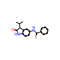 CC(C)C1C(=O)Nc2ccc(NC(=S)c3ccccc3)cc21